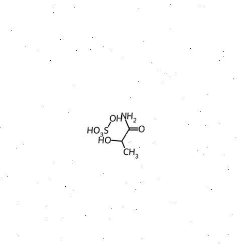 CC(O)C(N)=O.O=S(=O)(O)O